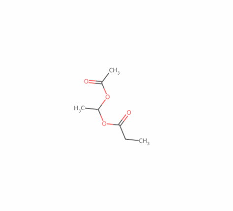 CCC(=O)OC(C)OC(C)=O